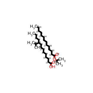 CCCCC(CCCCCCCCC(=O)O)C(C)C.CCCCCCCCCCCCCC(=O)OC(C)C